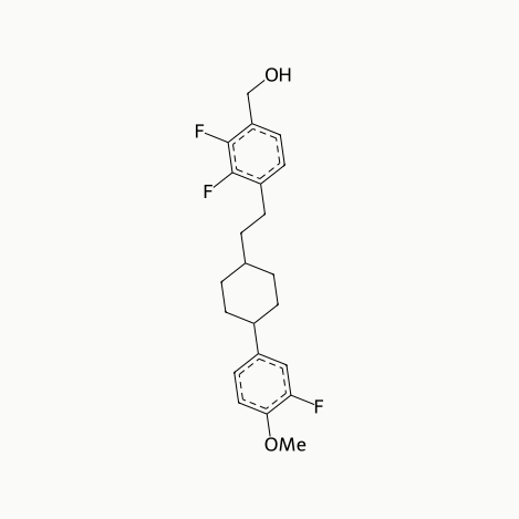 COc1ccc(C2CCC(CCc3ccc(CO)c(F)c3F)CC2)cc1F